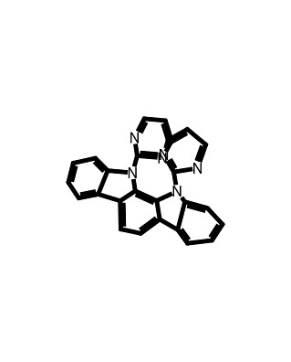 c1cnc(-n2c3ccccc3c3ccc4c5ccccc5n(-c5ncccn5)c4c32)nc1